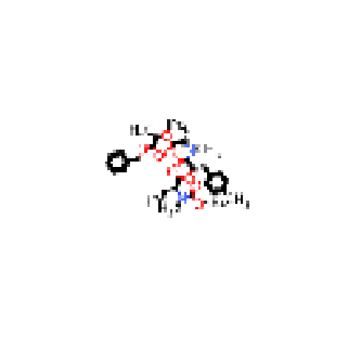 Cc1ccc(C[C@@H](OC(=O)[C@H](CC(C)C)N(C)C(=O)OC(C)(C)C)C(=O)N(C)[C@@H](CC(C)C)C(=O)O[C@H](C)C(=O)OCc2ccccc2)cc1